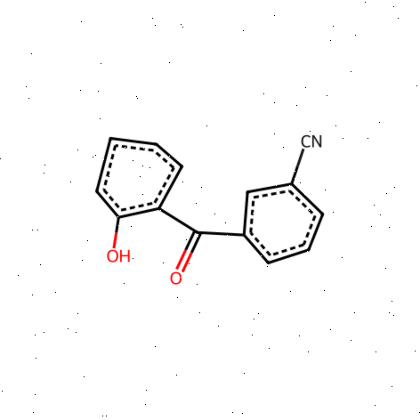 N#Cc1cccc(C(=O)c2ccccc2O)c1